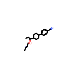 C/C=C/COC(CC)C1CCC(c2ccc(C#N)cc2)CC1